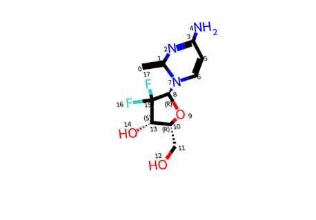 C=C1N=C(N)C=CN1[C@@H]1O[C@H](CO)[C@H](O)C1(F)F